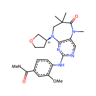 CNC(=O)c1ccc(Nc2ncc3c(n2)N([C@H]2CCOC2)CC(C)(C)C(=O)N3C)c(OC)c1